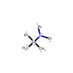 CC[N](C(C)C)[Ge]([CH3])([CH3])[CH](C)C